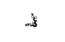 CCOC(=O)CC(C)c1cccc(CN=[N+]=[N-])n1